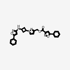 O=C(OCc1ccn(C2CC(Nc3cc(-c4ccccc4)on3)C2)n1)c1cc(-c2ccccc2)on1